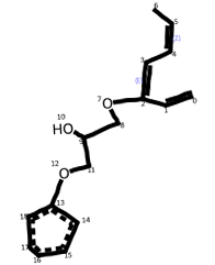 C=C/C(=C\C=C/C)OCC(O)COc1ccccc1